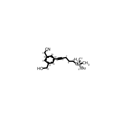 CC(C)(C)[Si](C)(C)OCCCC#Cc1cc(CO)cc(CC#N)c1